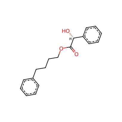 O=C(OCCCCc1ccccc1)[C@H](O)c1ccccc1